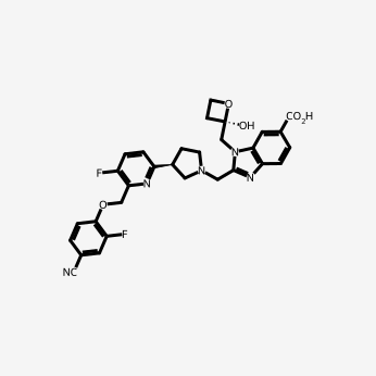 N#Cc1ccc(OCc2nc([C@H]3CCN(Cc4nc5ccc(C(=O)O)cc5n4C[C@@]4(O)CCO4)C3)ccc2F)c(F)c1